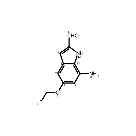 Nc1cc(OCF)cc2cc(C=O)[nH]c12